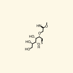 COC(=N)CO[C@H](C=S)[C@@H](O)[C@H](O)[C@H](O)CO